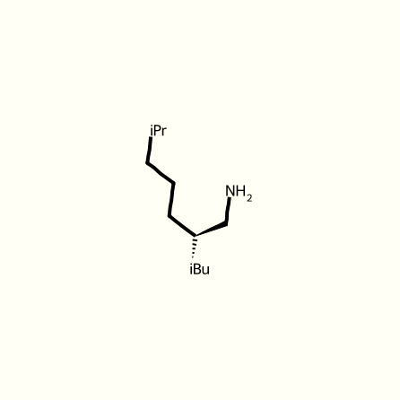 CC[C@@H](C)[C@H](CN)CCCC(C)C